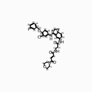 O=C(C=CC(=O)N1CCOCC1)NCCC(=O)Nc1ccc2ncnc(Nc3ccc(OCc4cccc(F)c4)c(Cl)c3)c2c1